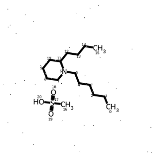 CCCCCCN1CCCCC1CCCC.CS(=O)(=O)O